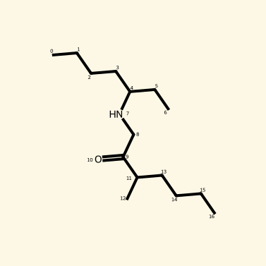 CCCCC(CC)NCC(=O)C(C)CCCC